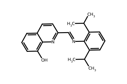 CC(C)c1cccc(C(C)C)c1N=Cc1ccc2cccc(O)c2n1